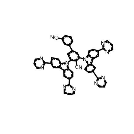 N#Cc1cccc(-c2cc(-n3c4ccc(-c5ncccn5)cc4c4cc(-c5ncccn5)ccc43)c(C#N)c(-n3c4ccc(-c5ncccn5)cc4c4cc(-c5ncccn5)ccc43)c2)c1